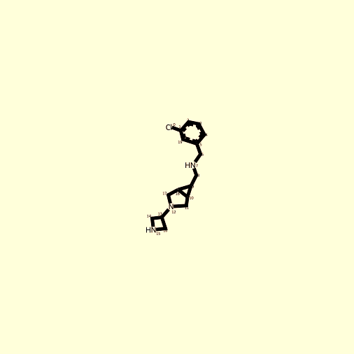 Clc1cccc(CNCC2C3CN(C4CNC4)CC23)c1